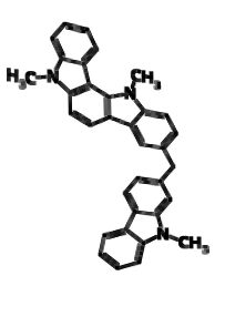 Cn1c2ccccc2c2ccc(Cc3ccc4c(c3)c3ccc5c(c6ccccc6n5C)c3n4C)cc21